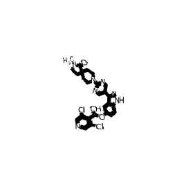 CC(Oc1ccc2[nH]nc(-c3cnc(N4CCC5(CCN(C)C5=O)CC4)nc3)c2c1)c1c(Cl)cncc1Cl